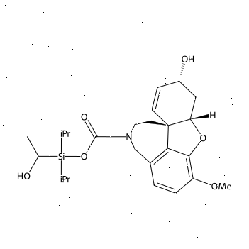 COc1ccc2c3c1O[C@H]1C[C@@H](O)C=C[C@@]31CCN(C(=O)O[Si](C(C)C)(C(C)C)C(C)O)C2